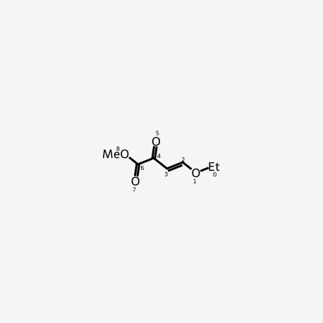 CCOC=CC(=O)C(=O)OC